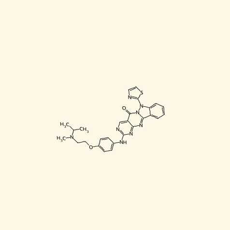 CC(C)N(C)CCOc1ccc(Nc2ncc3c(=O)n4c(nc3n2)c2ccccc2n4-c2nccs2)cc1